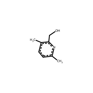 Cc1ccc(C)c(CO)n1